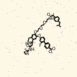 COC(=O)c1ccc(-c2ccc(Oc3cc4c(cc3OCCOCCOCCNC(=O)[C@@H](C)c3ccc(CC(C)C)cc3)CCN[C@]4(C)CC(=O)Nc3nccs3)cc2F)cc1